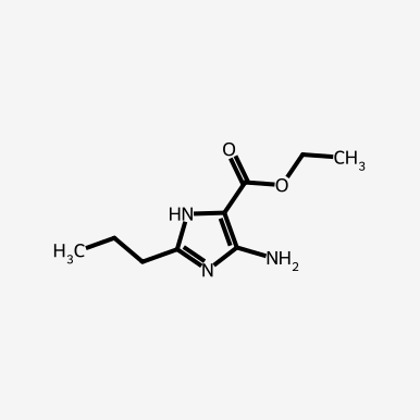 CCCc1nc(N)c(C(=O)OCC)[nH]1